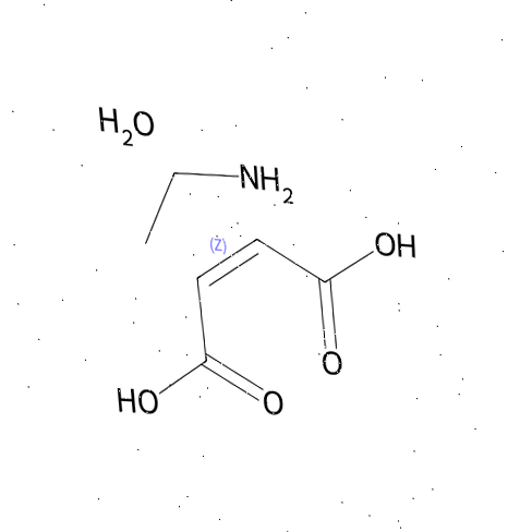 CCN.O.O=C(O)/C=C\C(=O)O